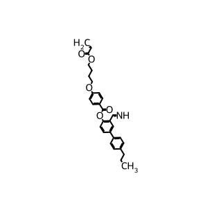 C=CC(=O)OCCCCOc1ccc(C(=O)Oc2ccc(-c3ccc(CCC)cc3)cc2C=N)cc1